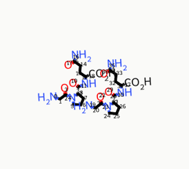 NCC(=O)N1CCC[C@H]1C(=O)NC(CCC(N)=O)C(=O)O.NCC(=O)N1CCC[C@H]1C(=O)NC(CCC(N)=O)C(=O)O